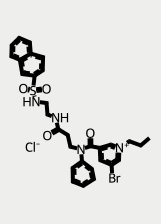 CCC[n+]1cc(Br)cc(C(=O)N(CCC(=O)NCCNS(=O)(=O)c2ccc3ccccc3c2)c2ccccc2)c1.[Cl-]